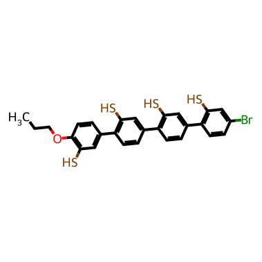 CCCOc1ccc(-c2ccc(-c3ccc(-c4ccc(Br)cc4S)cc3S)cc2S)cc1S